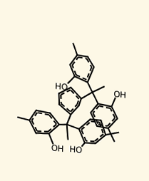 Cc1ccc(C(C)(c2cccc(C(C)(c3ccc(C)cc3O)c3ccc(C)cc3O)c2)c2ccc(C)cc2O)c(O)c1